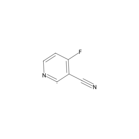 N#Cc1[c]nccc1F